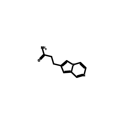 NC(=O)CCc1cc2cnccn2c1